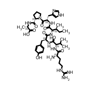 CC[C@H](C)[C@H](NC(=O)[C@H](Cc1ccc(O)cc1)NC(=O)[C@@H](NC(=O)[C@@H](N)CCCNC(=N)N)C(C)C)C(=O)N[C@@H](Cc1c[nH]cn1)C(=O)N1CCC[C@H]1C(=O)N[C@@H](C)C(=O)O